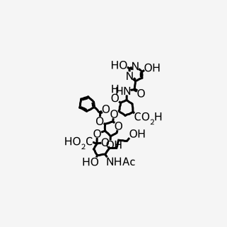 CC(=O)NC1C(O)CC(OC2C(O)COC(OC3CC(C(=O)O)CC(NC(=O)c4cc(O)nc(O)n4)C3O)C2OC(=O)c2ccccc2)(C(=O)O)OC1CCCO